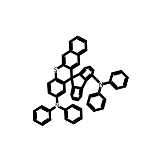 c1ccc(N(c2ccccc2)c2ccc3c(c2)C2(c4cc5ccccc5cc4S3)c3ccccc3-c3c(N(c4ccccc4)c4ccccc4)cccc32)cc1